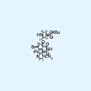 Cc1ccnc(C(C)C)c1-n1c(=O)[nH]c(=O)c2c(OCC3CN(C(=O)OC(C)(C)C)CCN3)cc(Br)cc21